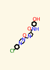 O=C(Nc1ccc(O)cc1)C1CCN(CC(=O)N2CCN(c3ccc(Cl)cc3)CC2)C1